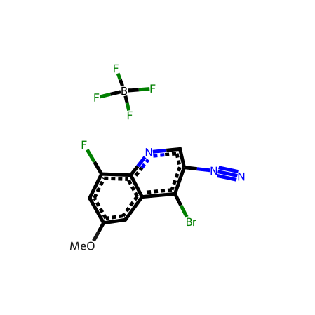 COc1cc(F)c2ncc([N+]#N)c(Br)c2c1.F[B-](F)(F)F